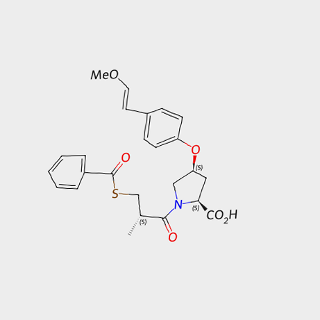 COC=Cc1ccc(O[C@H]2C[C@@H](C(=O)O)N(C(=O)[C@H](C)CSC(=O)c3ccccc3)C2)cc1